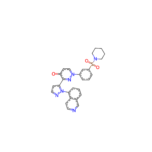 O=c1ccn(-c2cccc(S(=O)(=O)N3CCCCC3)c2)nc1-c1ccnn1-c1cccc2cnccc12